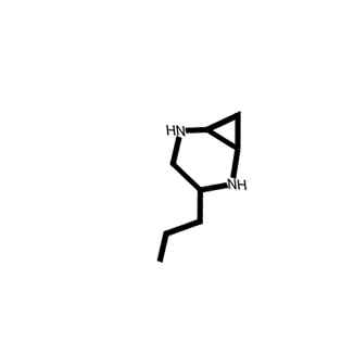 CCCC1CNC2CC2N1